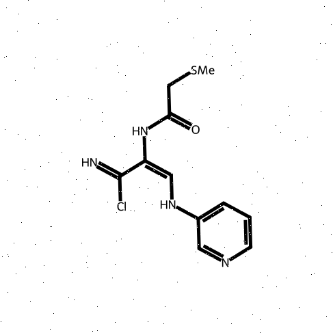 CSCC(=O)N/C(=C/Nc1cccnc1)C(=N)Cl